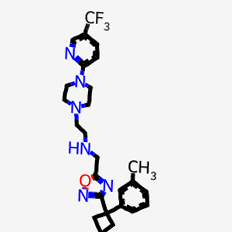 Cc1cccc(C2(c3noc(CNCCN4CCN(c5ccc(C(F)(F)F)cn5)CC4)n3)CCC2)c1